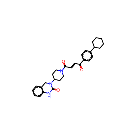 O=C(C=CC(=O)N1CCC(N2Cc3ccccc3NC2=O)CC1)c1ccc(C2CCCCC2)cc1